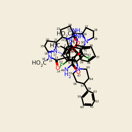 CC1(CC(N)=O)c2ccc(cc2)[C@]1(C(=O)NC(=O)O)N1CCCC1C1CC[C@@H](C2CCCN2[C@@]2(C(=O)NC(=O)O)c3ccc(cc3)C2(C)CC(N)=O)N1c1cc(F)c(N2CCC(c3ccccc3)CC2)c(F)c1